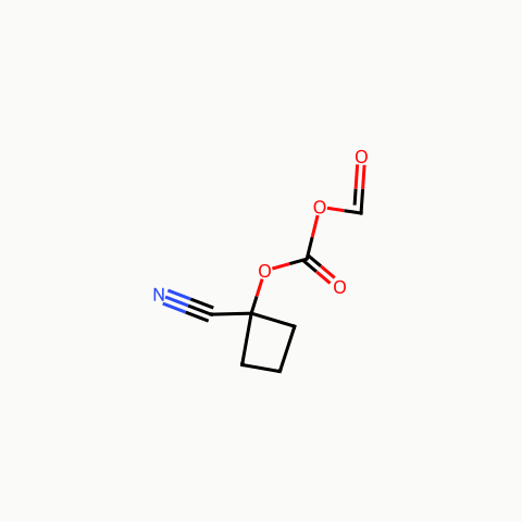 N#CC1(OC(=O)OC=O)CCC1